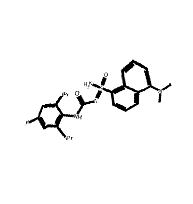 CC(C)c1cc(F)cc(C(C)C)c1NC(=O)N=S(N)(=O)c1cccc2c(N(C)C)cccc12